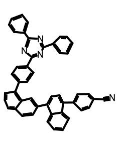 N#Cc1ccc(-c2ccc(-c3ccc4cccc(-c5ccc(-c6nc(-c7ccccc7)nc(-c7ccccc7)n6)cc5)c4c3)c3ccccc23)cc1